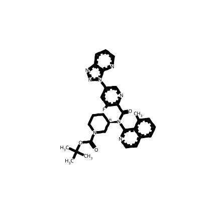 Cc1cccc2ccnc(N(C(=O)c3ncc(-n4nnc5cccnc54)cc3F)[C@@H]3CCCN(C(=O)OC(C)(C)C)C3)c12